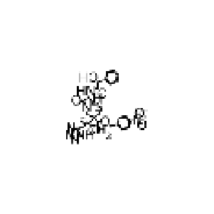 CC(Sc1nnn[nH]1)C1(C(=O)OCc2ccc([N+](=O)[O-])cc2)CS[C@@H]2C(NC(=O)C(O)c3ccccc3)C(=O)N2C1